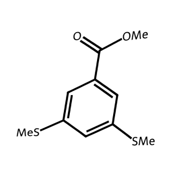 COC(=O)c1cc(SC)cc(SC)c1